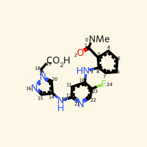 CNC(=O)c1ccccc1Nc1cc(Nc2cnn(CC(=O)O)c2)ncc1F